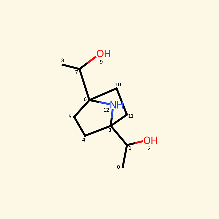 CC(O)C12CCC(C(C)O)(CC1)N2